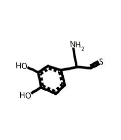 NC(C=S)c1ccc(O)c(O)c1